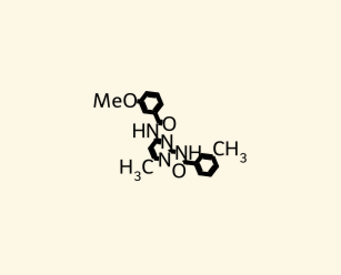 COc1cccc(C(=O)Nc2cc(C)nc(NC(=O)c3cccc(C)c3)n2)c1